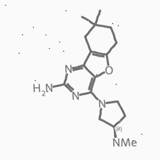 CN[C@@H]1CCN(c2nc(N)nc3c4c(oc23)CCC(C)(C)C4)C1